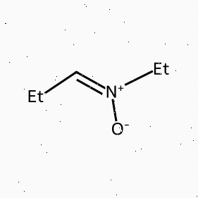 CCC=[N+]([O-])CC